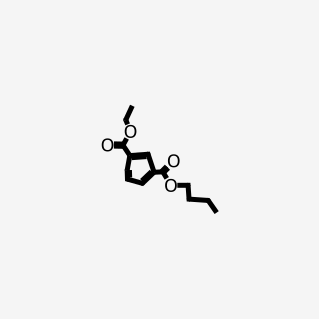 CCCCOC(=O)c1cccc(C(=O)OCC)c1